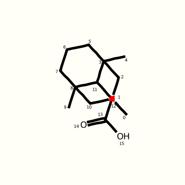 CN1CC2(C)CCCC(C)(C1)C2CC(=O)O